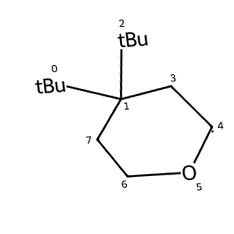 CC(C)(C)C1(C(C)(C)C)C[CH]OCC1